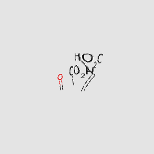 C=CC(=O)O.C=O.CC(=O)O